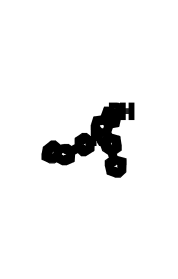 B1C=CC2C(=CCC3C2c2ccc(-c4ccccc4)cc2N3c2ccc(C3=CC4C=CC=CC4C=C3)cc2)C1